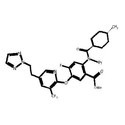 COC(=O)c1cc(Oc2ncc(CCn3nccn3)cc2C(F)(F)F)c(F)cc1N(C(=O)[C@H]1CC[C@H](C)CC1)C(C)C